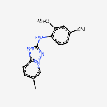 COc1cc(C#N)ccc1Nc1nc2ccc(C)cn2n1